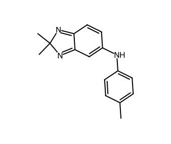 Cc1ccc(Nc2ccc3c(c2)=NC(C)(C)N=3)cc1